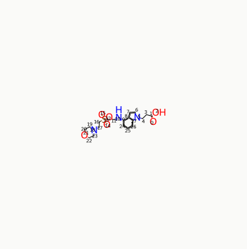 O=C(O)CCn1ccc2c(NCOS(=O)(=O)CCN3CCOCC3)cccc21